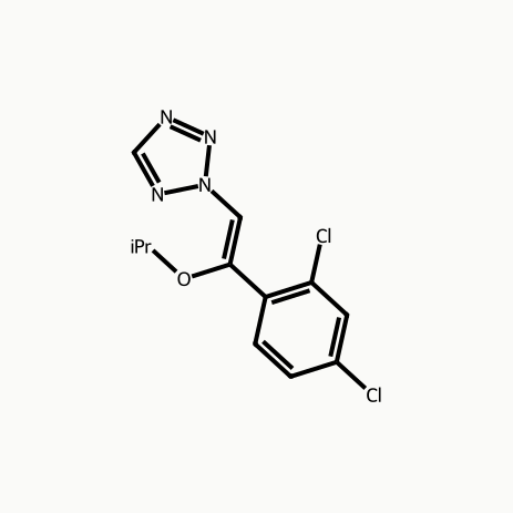 CC(C)OC(=Cn1ncnn1)c1ccc(Cl)cc1Cl